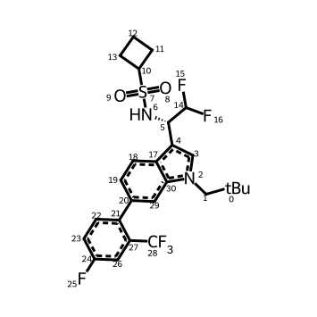 CC(C)(C)Cn1cc([C@H](NS(=O)(=O)C2CCC2)C(F)F)c2ccc(-c3ccc(F)cc3C(F)(F)F)cc21